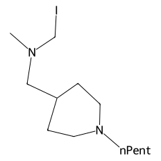 CCCCCN1CCC(CN(C)CI)CC1